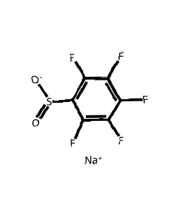 O=S([O-])c1c(F)c(F)c(F)c(F)c1F.[Na+]